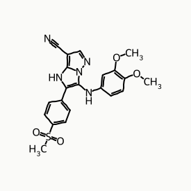 COc1ccc(Nc2c(-c3ccc(S(C)(=O)=O)cc3)[nH]c3c(C#N)cnn23)cc1OC